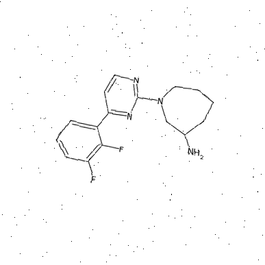 NC1CCCCN(c2nccc(-c3cccc(F)c3F)n2)C1